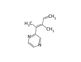 C=C/C(C)=C(\C)c1cnccn1